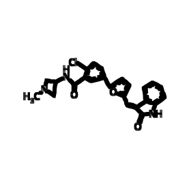 CN1CC(NC(=O)c2cc(-c3ccc(/C=C4/C(=O)Nc5ccccc54)o3)ccc2Cl)C1